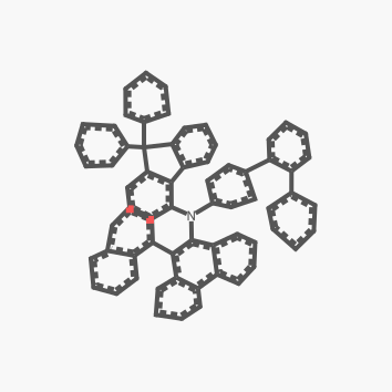 c1ccc(-c2ccccc2-c2ccc(N(c3cccc4c3-c3ccccc3C4(c3ccccc3)c3ccccc3)c3c(-c4cccc5ccccc45)c4ccccc4c4ccccc34)cc2)cc1